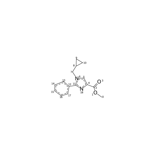 COC(=O)c1cn(CC2CC2)c(-c2ccccc2)n1